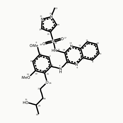 COc1cc(Nc2nc3ccccc3nc2NS(=O)(=O)c2cnn(C)c2)c(OCCC(C)O)c(OC)c1